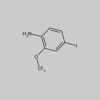 Nc1ccc(I)cc1OC(F)(F)F